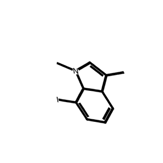 CC1=CN(C)C2C(I)=CC=CC12